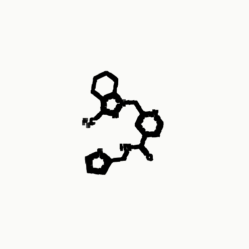 O=C(NCc1cccs1)c1ccnc(Cn2nc(C(F)(F)F)c3c2CCCC3)c1